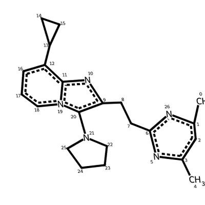 Cc1cc(C)nc(CCc2nc3c(C4CC4)cccn3c2N2CCCC2)n1